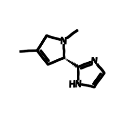 CC1=C[C@@H](c2ncc[nH]2)N(C)C1